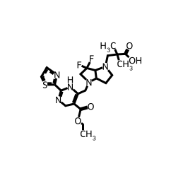 CCOC(=O)C1=C(CN2CC(F)(F)C3C2CCN3CC(C)(C)C(=O)O)NC(c2nccs2)=NC1